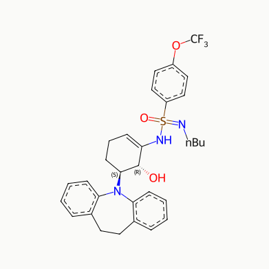 CCCCN=S(=O)(NC1=CCC[C@H](N2c3ccccc3CCc3ccccc32)[C@H]1O)c1ccc(OC(F)(F)F)cc1